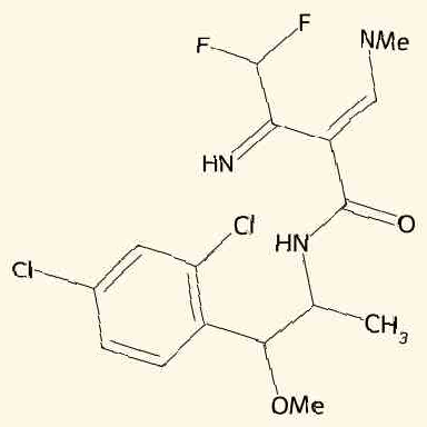 CN/C=C(\C(=N)C(F)F)C(=O)NC(C)C(OC)c1ccc(Cl)cc1Cl